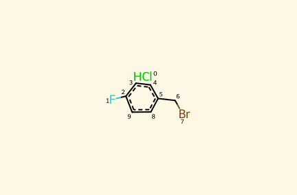 Cl.Fc1ccc(CBr)cc1